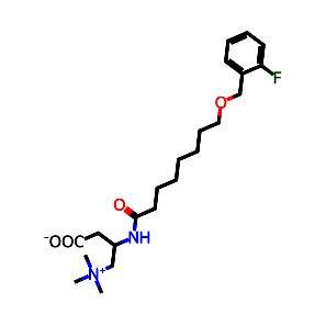 C[N+](C)(C)CC(CC(=O)[O-])NC(=O)CCCCCCCOCc1ccccc1F